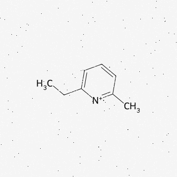 CCC1=CC=CC(C)=[N+]1